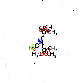 COc1cc(C=Cc2cc(C=Cc3cc(OC)c(OC)c(OC)c3)n(-c3ccc(OC(F)(F)F)cc3)n2)cc(OC)c1OC